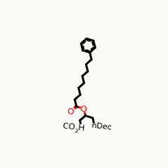 CCCCCCCCCCCC(CC(=O)O)OC(=O)CCCCCCCCc1ccccc1